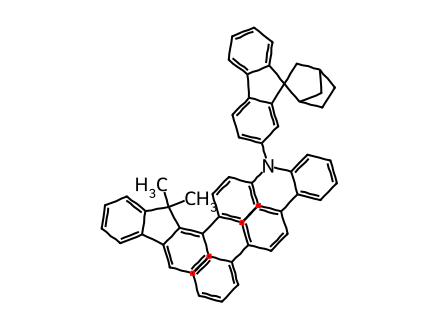 CC1(C)c2ccccc2-c2cccc(-c3ccc(N(c4ccc5c(c4)C4(CC6CCC4C6)c4ccccc4-5)c4ccccc4-c4ccc(-c5ccccc5)cc4)cc3)c21